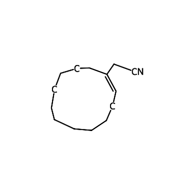 N#CCC1=CCCCCCCCCCC1